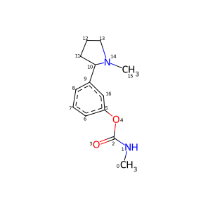 CNC(=O)Oc1cccc(C2CCCN2C)c1